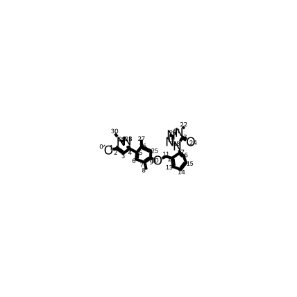 COc1cc(-c2cc(C)c(OCc3ccccc3-n3nnn(C)c3=O)cc2C)nn1C